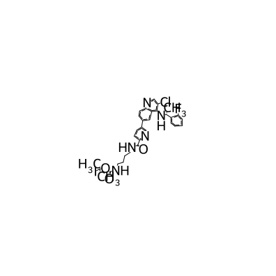 C[C@@H](Nc1c(Cl)cnc2ccc(-c3ccc(C(=O)NCCCCNC(=O)OC(C)(C)I)nc3)cc12)c1ccccc1F